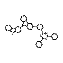 c1ccc(-c2nc(-c3ccccc3)nc(-c3cccc(-c4ccc5c(c4)c4ccccc4n5-c4ccc5sc6ccccc6c5c4)c3)n2)cc1